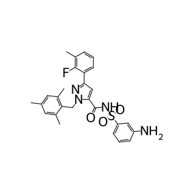 Cc1cc(C)c(Cn2nc(-c3cccc(C)c3F)cc2C(=O)NS(=O)(=O)c2cccc(N)c2)c(C)c1